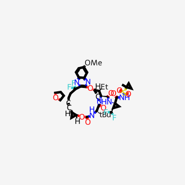 C1CCOC1.CC[C@@H]1[C@@H]2CN(C(=O)[C@H](C(C)(C)C)NC(=O)O[C@@H]3C[C@H]3CCCCC(F)(F)c3nc4ccc(OC)cc4nc3O2)[C@@H]1C(=O)N[C@]1(C(=O)NS(=O)(=O)C2(C)CC2)C[C@H]1C(F)F